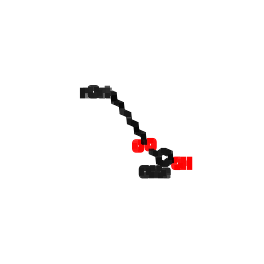 CCCCCCCCC=CCCCCCCCC(=O)OCc1ccc(O)c(OC)c1